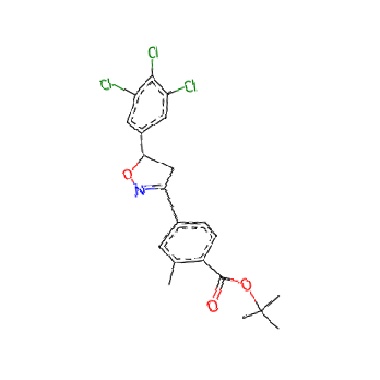 Cc1cc(C2=NOC(c3cc(Cl)c(Cl)c(Cl)c3)C2)ccc1C(=O)OC(C)(C)C